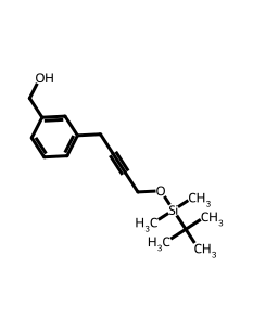 CC(C)(C)[Si](C)(C)OCC#CCc1cccc(CO)c1